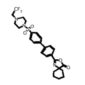 O=C1OC(c2ccc(-c3ccc(S(=O)(=O)N4CCN(CC(F)(F)F)CC4)cc3)cc2)=NC12CCCCC2